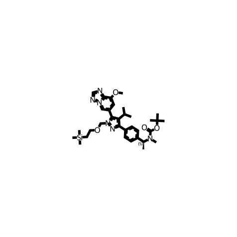 COc1cc(-c2c(C(C)C)c(-c3ccc([C@H](C)N(C)C(=O)OC(C)(C)C)cc3)nn2COCC[Si](C)(C)C)cn2ncnc12